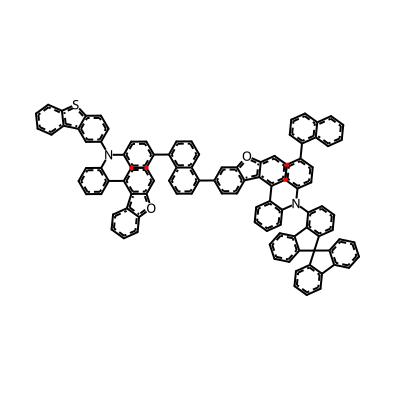 c1ccc(N(c2ccc(-c3cccc4c(-c5ccc6c(c5)oc5cccc(-c7ccccc7N(c7ccc(-c8cccc9ccccc89)cc7)c7cccc8c7-c7ccccc7C87c8ccccc8-c8ccccc87)c56)cccc34)cc2)c2ccc3sc4ccccc4c3c2)c(-c2cccc3oc4ccccc4c23)c1